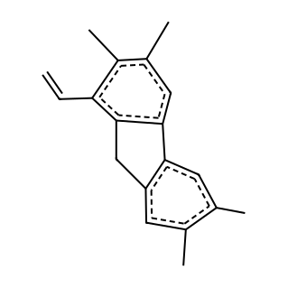 C=Cc1c(C)c(C)cc2c1Cc1cc(C)c(C)cc1-2